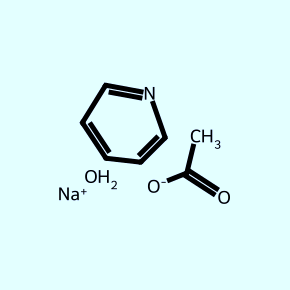 CC(=O)[O-].O.[Na+].c1ccncc1